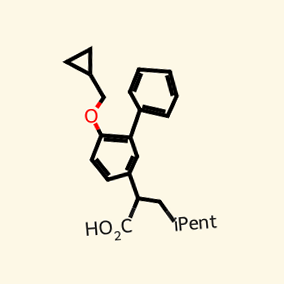 CCCC(C)CC(C(=O)O)c1ccc(OCC2CC2)c(-c2ccccc2)c1